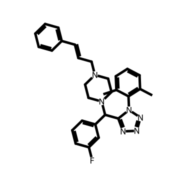 Cc1cccc(C)c1-n1nnnc1C(c1cccc(F)c1)N1CCN(CC=Cc2ccccc2)CC1